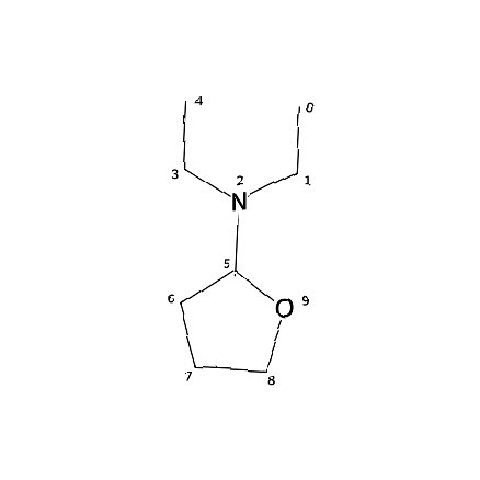 CCN(CC)[C]1CCCO1